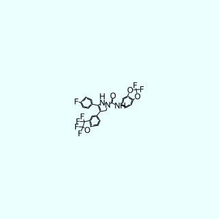 O=C(Nc1ccc2c(c1)OC(F)(F)O2)N1CC(c2ccc3c(c2)C(F)(F)C(F)(F)O3)=C(c2ccc(F)cc2)N1